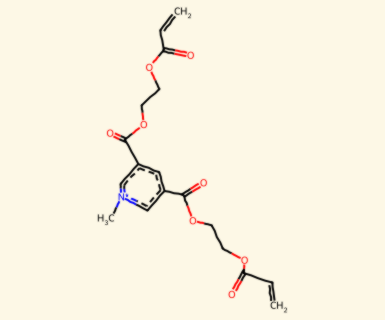 C=CC(=O)OCCOC(=O)c1cc(C(=O)OCCOC(=O)C=C)c[n+](C)c1